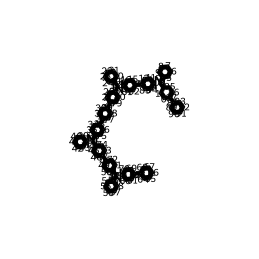 C1=CC(N(c2ccccc2)c2ccc(-c3ccc(N(c4ccccc4)c4ccc(-c5ccc(-c6ccc(N(c7ccccc7)c7ccc(-c8ccc(N(c9ccccc9)c9ccc(-c%10ccccc%10)cc9)cc8)cc7)cc6)cc5)cc4)cc3)cc2)CC=C1c1ccccc1